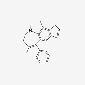 CC1=C(c2ccccc2)c2cc3c(c(C)c2N(C)CC1)CC=C3